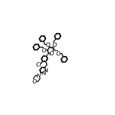 Clc1ccc([C@@H]2O[C@H](COCc3ccccc3)[C@@H](OCc3ccccc3)[C@H](OCc3ccccc3)[C@H]2OCc2ccccc2)cc1Cc1ccc(N2CCOCC2)nn1